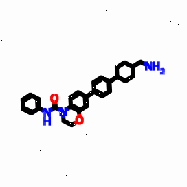 NCC1CCC(c2ccc(-c3ccc4c(c3)OCCN4C(=O)Nc3ccccc3)cc2)CC1